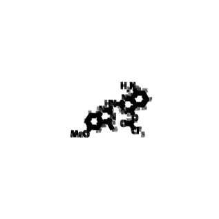 COc1ccc2nc(Nc3nc(OC(=O)C(F)(F)F)c4cccc(N)c4n3)nc(C)c2c1